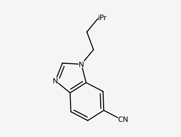 CC(C)CCn1cnc2ccc(C#N)cc21